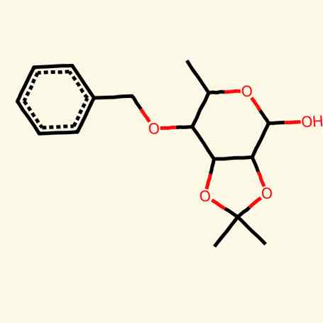 CC1OC(O)C2OC(C)(C)OC2C1OCc1ccccc1